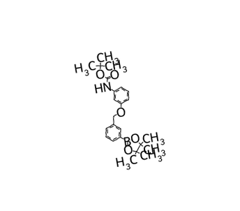 CC(C)(C)OC(=O)Nc1cccc(OCc2cccc(B3OC(C)(C)C(C)(C)O3)c2)c1